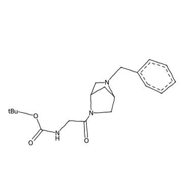 CC(C)(C)OC(=O)NCC(=O)N1CC2CC1CN2Cc1ccccc1